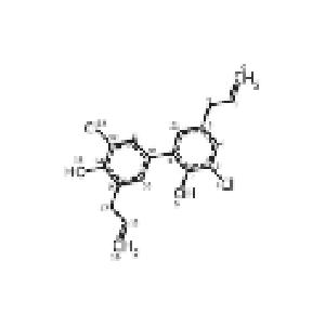 C=CCc1cc(Cl)c(O)c(-c2cc(Cl)c(O)c(CC=C)c2)c1